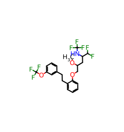 COC(COc1ccccc1CCc1cccc(OC(F)(F)F)c1)CC(NC(F)(F)F)C(F)F